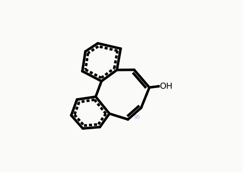 OC1=Cc2ccccc2-c2ccccc2/C=C\1